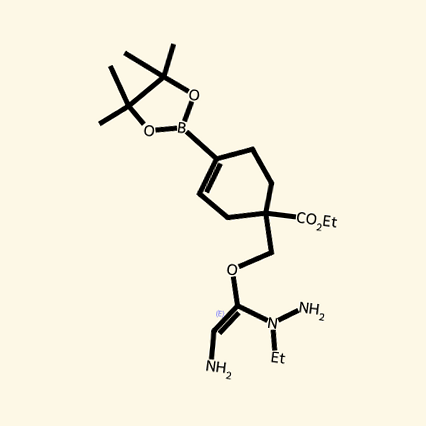 CCOC(=O)C1(CO/C(=C/N)N(N)CC)CC=C(B2OC(C)(C)C(C)(C)O2)CC1